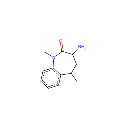 CC1CC(N)C(=O)N(C)c2ccccc21